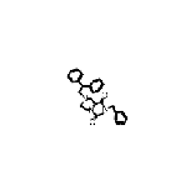 O=C1C2CN(CC(c3ccccc3)c3ccccc3)CCN2C(=O)CN1Cc1ccccc1